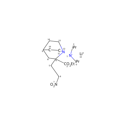 CC(C)[N-]C(C)C.CCOC(=O)C1(CC[N+](=O)[O-])CC2CCN1CC2.[Li+]